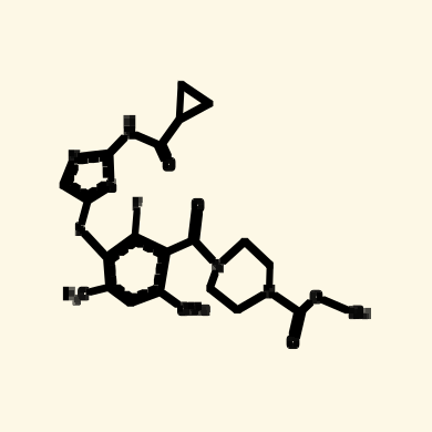 COc1cc(C)c(Sc2cnc(NC(=O)C3CC3)s2)c(F)c1C(=O)N1CCN(C(=O)OC(C)(C)C)CC1